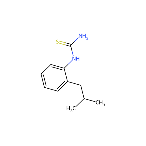 CC(C)Cc1ccccc1NC(N)=S